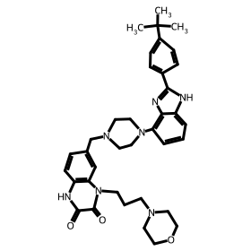 CC(C)(C)c1ccc(-c2nc3c(N4CCN(Cc5ccc6[nH]c(=O)c(=O)n(CCCN7CCOCC7)c6c5)CC4)cccc3[nH]2)cc1